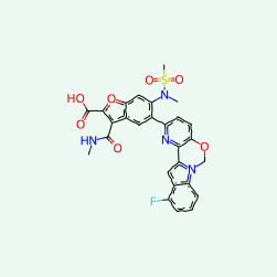 CNC(=O)c1c(C(=O)O)oc2cc(N(C)S(C)(=O)=O)c(-c3ccc4c(n3)-c3cc5c(F)cccc5n3CO4)cc12